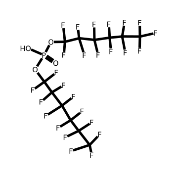 O=P(O)(OC(F)(F)C(F)(F)C(F)(F)C(F)(F)C(F)(F)C(F)(F)F)OC(F)(F)C(F)(F)C(F)(F)C(F)(F)C(F)(F)C(F)(F)F